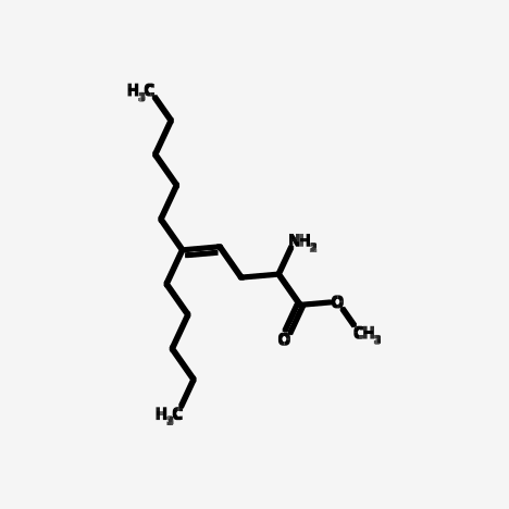 CCCCCC(=CCC(N)C(=O)OC)CCCCC